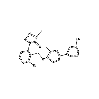 CCc1cccc(-n2nnn(C)c2=O)c1COc1ccc(-c2cccc(C#N)c2)cc1C